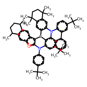 CC(C)(C)c1ccc(N2c3cc(C(C)(C)C)cc4c3B(c3cc5c(cc3N4c3ccc(C(C)(C)C)cc3-c3ccccc3)C(C)(C)CCC5(C)C)c3c2oc2cc4c(cc32)C2(C)CCC4(C)CC2)cc1